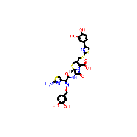 Nc1nc(C(=NOCc2ccc(O)c(O)c2)C(=O)N[C@@H]2C(=O)N3C(C(=O)O)=C(CSc4nc(-c5ccc(O)c(O)c5)cs4)CS[C@@H]23)cs1